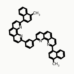 Cc1ccc(-c2ccc3ccc4ccc(-c5cccc(-c6ccc7ccc8ccc(-c9ccc(C)c%10ccccc9%10)nc8c7n6)c5)nc4c3n2)c2ccccc12